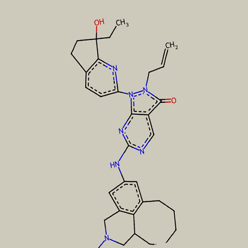 C=CCn1c(=O)c2cnc(Nc3cc4c5c(c3)CN(C)CC5CCCCC4)nc2n1-c1ccc2c(n1)C(O)(CC)CC2